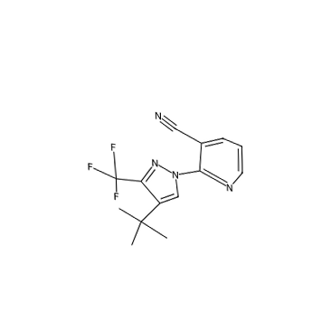 CC(C)(C)c1cn(-c2ncccc2C#N)nc1C(F)(F)F